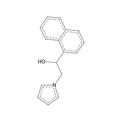 OC(Cn1cccc1)c1cccc2ccccc12